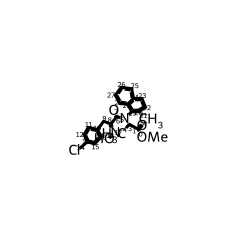 COC(=O)C(C)N(C(=O)C(Cc1ccc(Cl)cc1)=NO)c1c(C)ccc2ccccc12